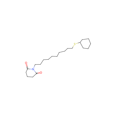 O=C1CCCC(=O)N1CCCCCCCCCCSC1CCCCC1